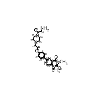 Cn1c(=O)c2nc(-c3ccc(OCCN4CCN(C(=O)CN)CC4)cc3)nnc2n(C)c1=O